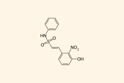 O=[N+]([O-])c1c(O)cccc1C=CS(=O)(=O)Nc1ccccc1